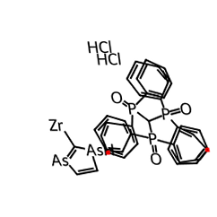 Cl.Cl.O=P(c1ccccc1)(c1ccccc1)C(P(=O)(c1ccccc1)c1ccccc1)P(=O)(c1ccccc1)c1ccccc1.[Zr][C]1=[As]C=C[AsH]1